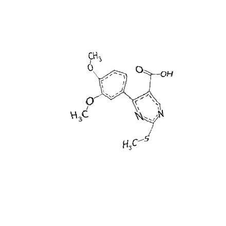 COc1ccc(-c2nc(SC)ncc2C(=O)O)cc1OC